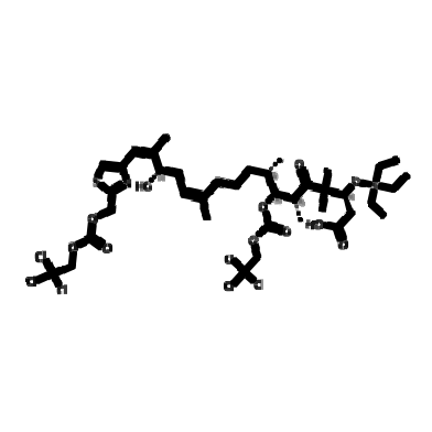 CC[Si](CC)(CC)O[C@@H](CC(=O)O)C(C)(C)C(=O)[C@H](C)[C@@H](OC(=O)OCC(Cl)(Cl)Cl)[C@@H](C)CCCC(C)=CC[C@H](O)C(C)=Cc1csc(COC(=O)OCC(Cl)(Cl)Cl)n1